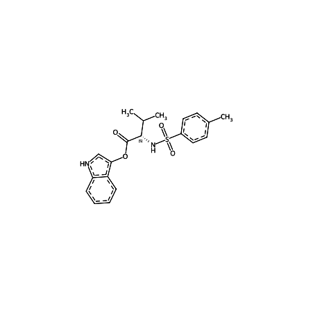 Cc1ccc(S(=O)(=O)N[C@H](C(=O)Oc2c[nH]c3ccccc23)C(C)C)cc1